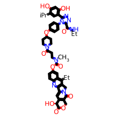 CCNC(=O)c1nnc(-c2cc(C(C)C)c(O)cc2O)n1-c1ccc(OC2CCN(C(=O)CCN(C)C(=O)Oc3ccc4nc5c(c(CC)c4c3)Cn3c-5cc4c(c3=O)COC(=O)[C@H]4O)CC2)cc1